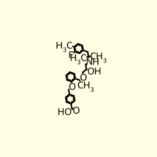 Cc1ccc(CC(C)(C)NC[C@@H](O)CO[C@H](C)c2ccccc2OCc2ccc(C(=O)O)cc2)cc1F